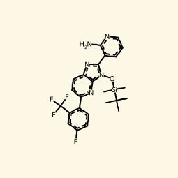 CC(C)(C)[Si](C)(C)On1c(-c2cccnc2N)nc2ccc(-c3ccc(F)cc3C(F)(F)F)nc21